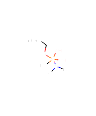 CCCCCCOP(C)(O)(O)N(C)CC